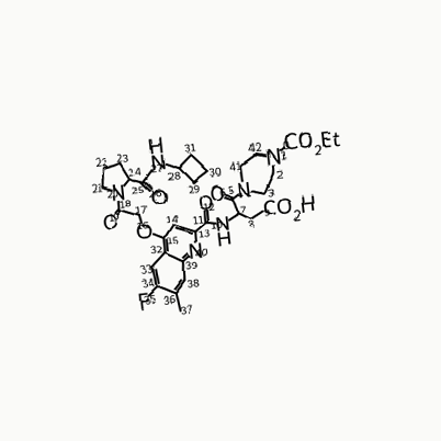 CCOC(=O)N1CCN(C(=O)C(CC(=O)O)NC(=O)c2cc(OCC(=O)N3CCCC3C(=O)NC3CCC3)c3cc(F)c(C)cc3n2)CC1